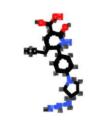 CCc1cc(C(=O)O)c(=O)[nH]c1-c1ccc(N2CC[C@H](N=[N+]=[N-])C2)cc1